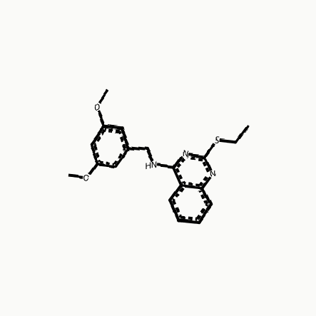 CCSc1nc(NCc2cc(OC)cc(OC)c2)c2ccccc2n1